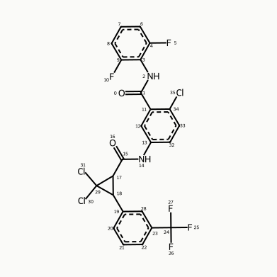 O=C(Nc1c(F)cccc1F)c1cc(NC(=O)C2C(c3cccc(C(F)(F)F)c3)C2(Cl)Cl)ccc1Cl